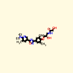 CCN(CC)c1ncc(-c2nc(-c3cc(C)c(OC[C@@H](O)CNC(=O)CO)c(OC)c3)no2)cc1C